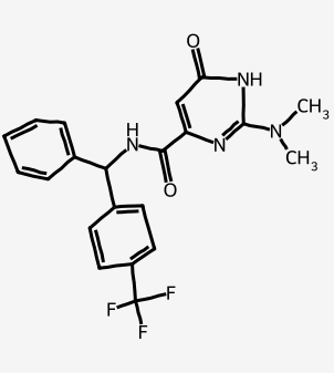 CN(C)c1nc(C(=O)NC(c2ccccc2)c2ccc(C(F)(F)F)cc2)cc(=O)[nH]1